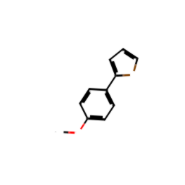 CCCC(C)Oc1ccc(-c2cccs2)cc1